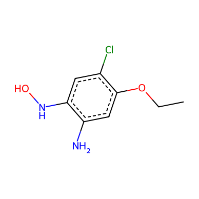 CCOc1cc(N)c(NO)cc1Cl